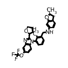 Cc1c(CNc2ccc3c(c2)O[C@H](C)[CH]3)cccc1-n1c(C2CCCO2)nc2cc(OC(F)(F)F)ccc21